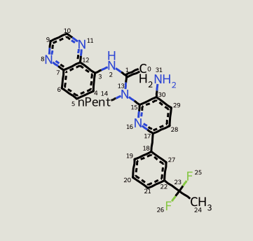 C=C(Nc1cccc2nccnc12)N(CCCCC)c1nc(-c2cccc(C(C)(F)F)c2)ccc1N